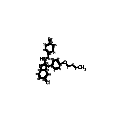 CCCCOc1ccc(-n2c(NCc3ccc(Br)cc3)nc3ccc(Cl)cc32)cc1